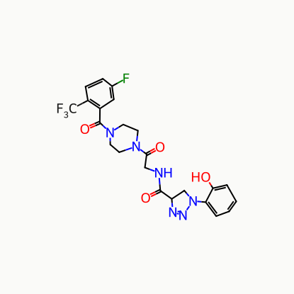 O=C(NCC(=O)N1CCN(C(=O)c2cc(F)ccc2C(F)(F)F)CC1)C1CN(c2ccccc2O)N=N1